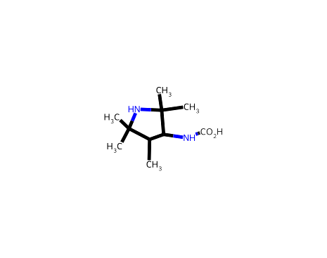 CC1C(NC(=O)O)C(C)(C)NC1(C)C